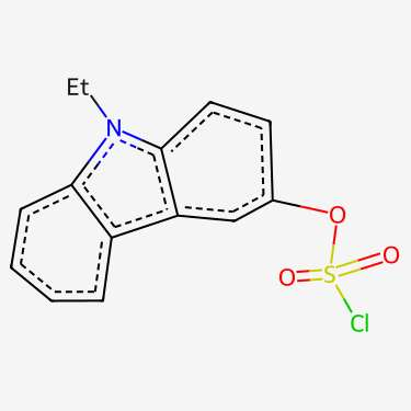 CCn1c2ccccc2c2cc(OS(=O)(=O)Cl)ccc21